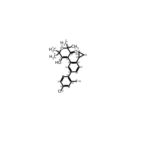 CC1(C)OC(C)(C)C(O)=C(c2cc(-c3ccc(Cl)cc3F)ccc2C2CC2)C1=O